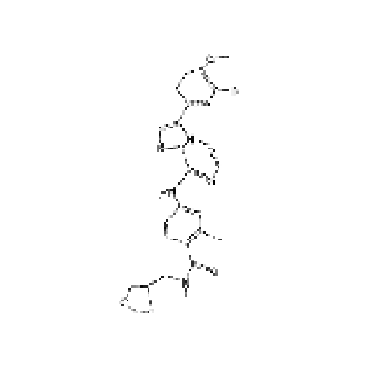 COC1=C(F)C=C(c2cnc3c(Nc4ccc(C(=O)N(C)CC5CCOC5)c(C)c4)nccn23)CC1